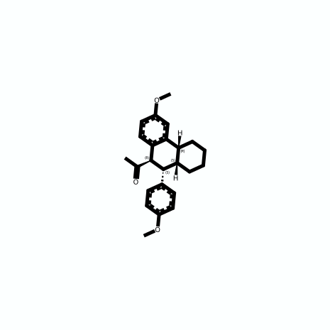 COc1ccc([C@H]2[C@H]3CCCC[C@H]3c3cc(OC)ccc3[C@@H]2C(C)=O)cc1